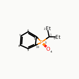 CCC(CC)P1(=O)c2ccccc21